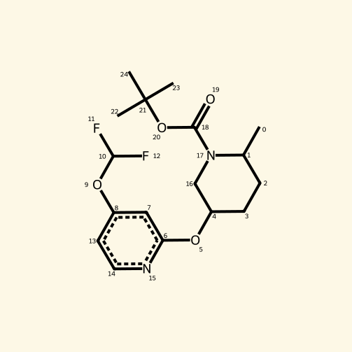 CC1CCC(Oc2cc(OC(F)F)ccn2)CN1C(=O)OC(C)(C)C